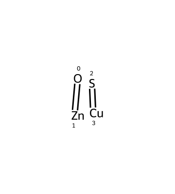 [O]=[Zn].[S]=[Cu]